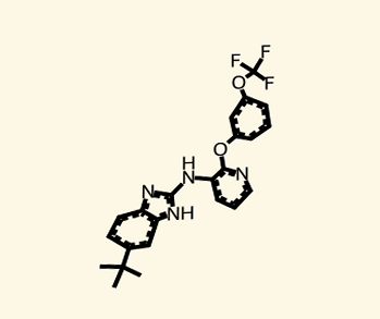 CC(C)(C)c1ccc2nc(Nc3cccnc3Oc3cccc(OC(F)(F)F)c3)[nH]c2c1